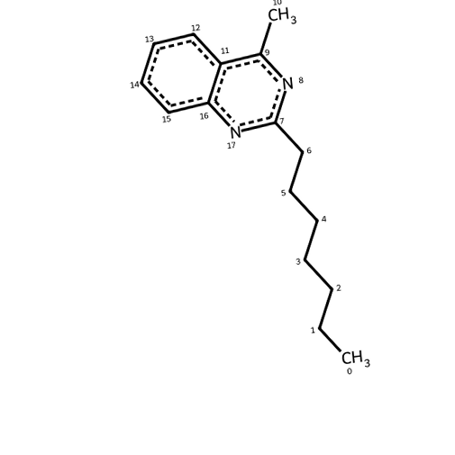 CCCCCCCc1nc(C)c2ccccc2n1